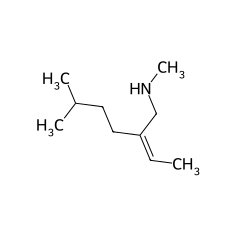 C/C=C(/CCC(C)C)CNC